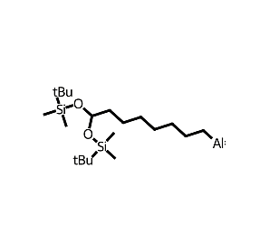 CC(C)(C)[Si](C)(C)OC(CCCCCC[CH2][Al])O[Si](C)(C)C(C)(C)C